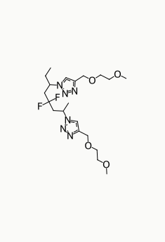 CCC(CC(F)(F)CC(C)n1cc(COCCOC)nn1)n1cc(COCCOC)nn1